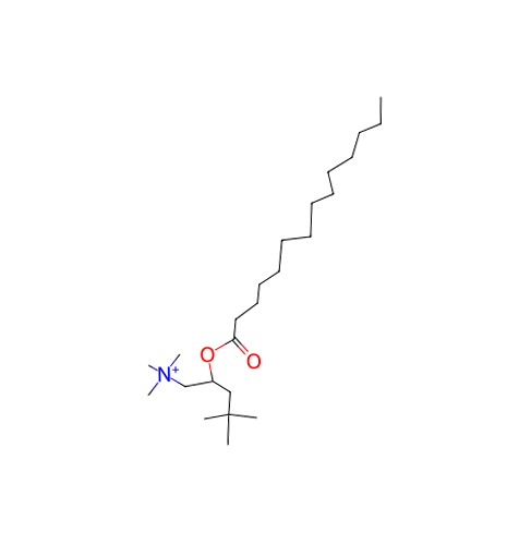 CCCCCCCCCCCCCC(=O)OC(CC(C)(C)C)C[N+](C)(C)C